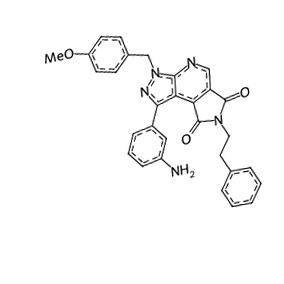 COc1ccc(Cn2nc(-c3cccc(N)c3)c3c4c(cnc32)C(=O)N(CCc2ccccc2)C4=O)cc1